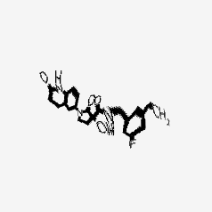 C=Cc1cc(F)cc(CNC(=O)C2(O)CCN(c3ccc4c(c3)CCC(=O)N4)C2=O)c1